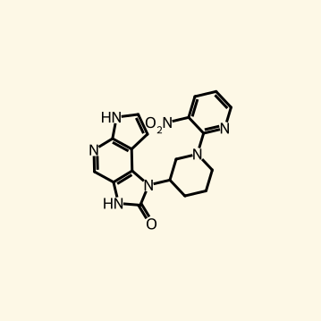 O=c1[nH]c2cnc3[nH]ccc3c2n1C1CCCN(c2ncccc2[N+](=O)[O-])C1